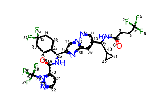 O=C(CCC(F)(F)F)NC(c1cnn2cc([C@@H](NC(=O)c3ccnn3C(F)(F)F)C3CCC(F)(F)CC3)nc2c1)C1CC1